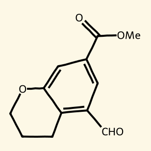 COC(=O)c1cc(C=O)c2c(c1)OCCC2